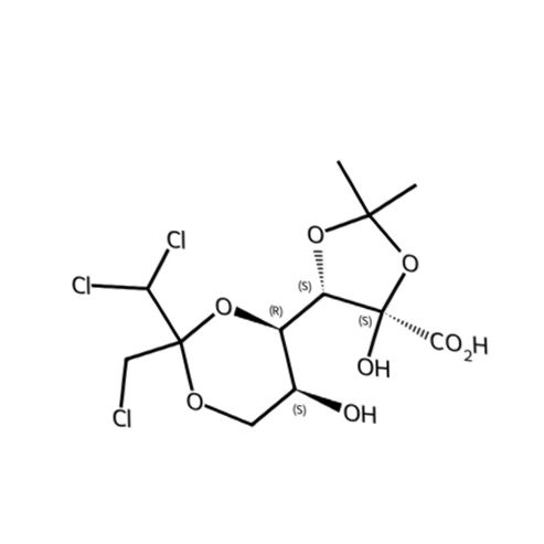 CC1(C)O[C@@H]([C@@H]2OC(CCl)(C(Cl)Cl)OC[C@@H]2O)[C@@](O)(C(=O)O)O1